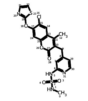 CNS(=O)(=O)Nc1cc(Cc2c(C)c3cc(Cl)c(Oc4nccs4)cc3oc2=O)ccn1